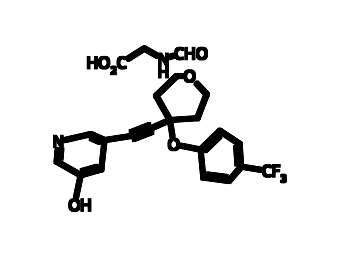 O=CNCC(=O)O.Oc1cncc(C#CC2(Oc3ccc(C(F)(F)F)cc3)CCOCC2)c1